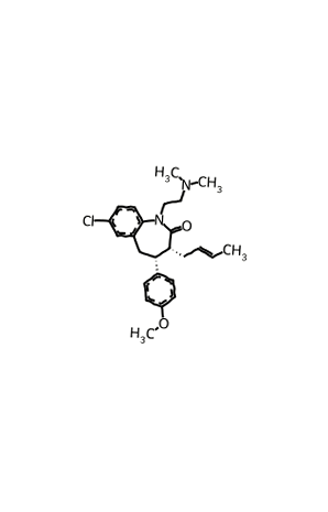 CC=CC[C@H]1C(=O)N(CCN(C)C)c2ccc(Cl)cc2C[C@H]1c1ccc(OC)cc1